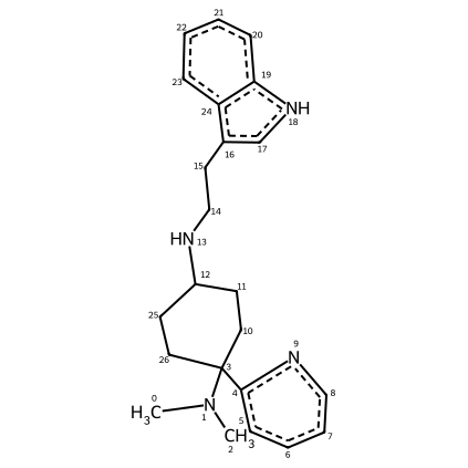 CN(C)C1(c2ccccn2)CCC(NCCc2c[nH]c3ccccc23)CC1